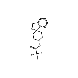 O=C(ON1CCC2(CC1)OCc1cccnc12)C(F)(F)F